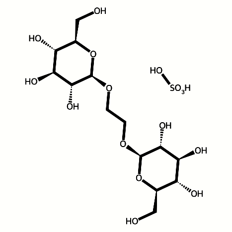 O=S(=O)(O)O.OC[C@H]1O[C@@H](OCCO[C@@H]2O[C@H](CO)[C@@H](O)[C@H](O)[C@H]2O)[C@H](O)[C@@H](O)[C@@H]1O